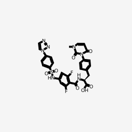 Cn1ccc(=O)n(-c2ccc(C[C@H](NC(=O)c3c(F)cc(NS(=O)(=O)c4ccc(-n5ccnn5)cc4)cc3F)C(=O)O)cc2)c1=O